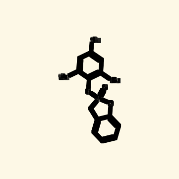 CC(C)(C)c1cc(C(C)(C)C)c(OP2(=O)Cc3ccccc3O2)c(C(C)(C)C)c1